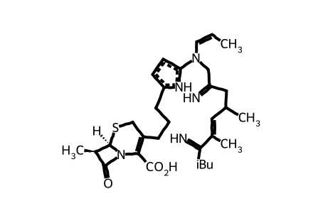 C/C=C\N(CC(=N)CC(C)/C=C(\C)C(=N)C(C)CC)c1ccc(CCCC2=C(C(=O)O)N3C(=O)[C@@H](C)[C@H]3SC2)[nH]1